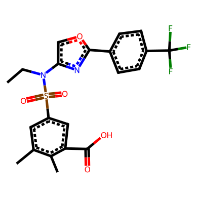 CCN(c1coc(-c2ccc(C(F)(F)F)cc2)n1)S(=O)(=O)c1cc(C)c(C)c(C(=O)O)c1